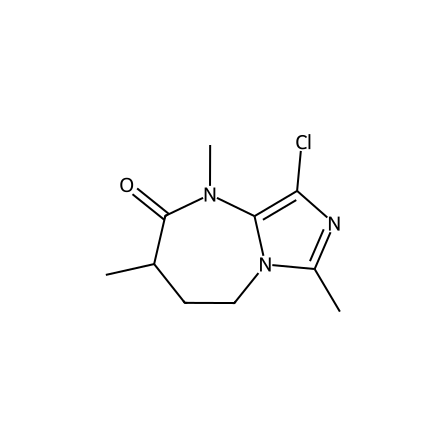 Cc1nc(Cl)c2n1CCC(C)C(=O)N2C